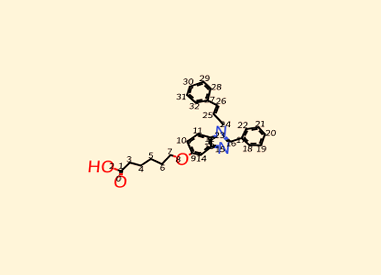 O=C(O)CCCCCOc1ccc2c(c1)nc(-c1ccccc1)n2CC=Cc1ccccc1